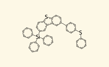 c1ccc(Sc2ccc(-c3ccc4sc5ccc([Si](c6ccccc6)(c6ccccc6)c6ccccc6)cc5c4c3)cc2)cc1